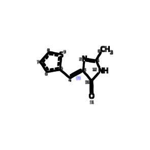 CC1=N/C(=C\c2cccs2)C(=O)N1